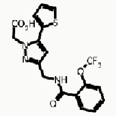 O=C(O)Cn1nc(CNC(=O)c2ccccc2OC(F)(F)F)cc1-c1cccs1